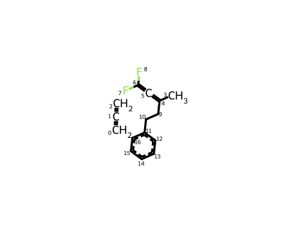 C=C=C.CC(=C=C(F)F)CCc1ccccc1